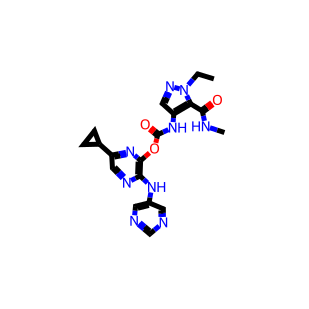 CCn1ncc(NC(=O)Oc2nc(C3CC3)cnc2Nc2cncnc2)c1C(=O)NC